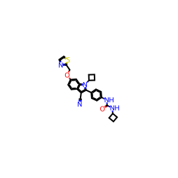 N#Cc1c(-c2ccc(NC(=O)NC3CCC3)cc2)n(C2CCC2)c2cc(OCc3nccs3)ccc12